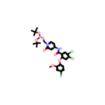 COc1cc(F)ccc1Oc1cc(Cl)c(Cl)cc1C(=O)Nc1ccn(COP(OC(C)(C)C)OC(C)(C)C)c(=O)c1